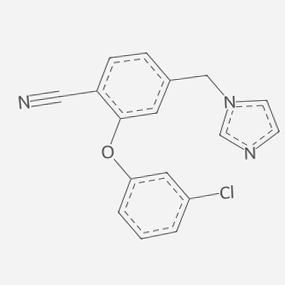 N#Cc1ccc(Cn2ccnc2)cc1Oc1cccc(Cl)c1